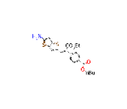 CCCCOC(=O)c1ccc(/C(=C/c2cc3sc(N)cc3s2)C(=O)OCC)cc1